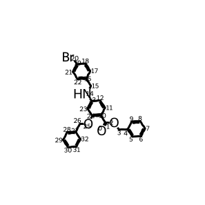 O=C(OCc1ccccc1)c1ccc(NCc2ccc(Br)cc2)cc1OCc1ccccc1